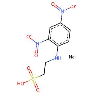 O=[N+]([O-])c1ccc(NCCS(=O)(=O)O)c([N+](=O)[O-])c1.[Na]